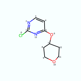 Clc1nccc(OC2CCOCC2)n1